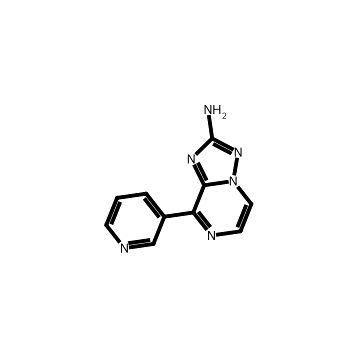 Nc1nc2c(-c3cccnc3)nccn2n1